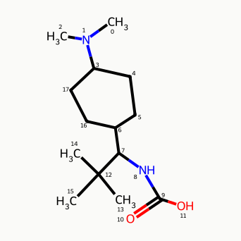 CN(C)C1CCC(C(NC(=O)O)C(C)(C)C)CC1